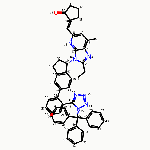 CCc1nc2c(C)cc(/C=C3\CCCC3=O)nc2n1[C@H]1CCc2cc(-c3ccccc3-c3nnnn3C(c3ccccc3)(c3ccccc3)c3ccccc3)ccc21